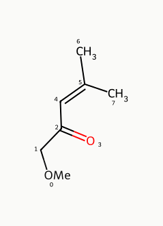 COCC(=O)C=C(C)C